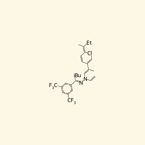 C=CN(/C=C(C)/C(/C=C\C(Cl)=C(/C)CC)=C/C)/N=C(/c1cc(C(F)(F)F)cc(C(F)(F)F)c1)C(C)CC